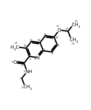 CCNC(=O)c1nc2ccc(OC(C)C)cc2cc1C